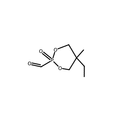 CCC1(C)COP(=O)(C=O)OC1